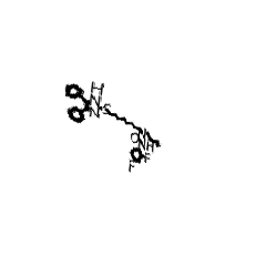 CCCCN(CCCCCCCCSc1nc(-c2ccccc2)c(-c2ccccc2)[nH]1)C(=O)Nc1ccc(F)cc1F